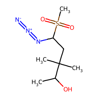 CC(O)C(C)(C)CC(N=[N+]=[N-])S(C)(=O)=O